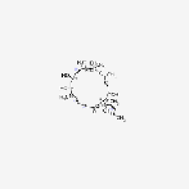 C=C/C=C\[C@@H](C)[C@H]1OC(=O)/C=C\C=C\[C@@H](C)[C@H](O)C[C@@H](O)/C=C\[C@@H](C)[C@@H](O)[C@@H](C)CC(C)CCC(O)[C@H]1C